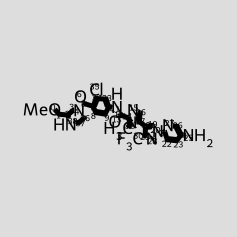 COCC1CN(C(=O)c2ccc(NC(=O)c3ncc(-c4cn(-c5ccc(N)cn5)nc4C(F)(F)F)n3C)cc2Cl)CCN1